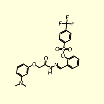 CN(C)c1cccc(OCC(=O)N/N=C/c2ccccc2OS(=O)(=O)c2ccc(C(F)(F)F)cc2)c1